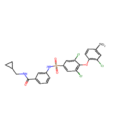 O=C(NCC1CC1)c1cccc(NS(=O)(=O)c2cc(Cl)c(Oc3ccc([N+](=O)[O-])cc3Cl)c(Cl)c2)c1